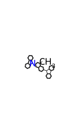 Cc1cc(-n2c3ccccc3c3ccccc32)cc2ccc(C3c4ccccc4-c4ccccc43)cc12